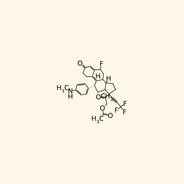 CNc1ccc([C@H]2C[C@@]3(C)[C@@H](CC[C@]3(C#CC(F)(F)F)C(=O)COC(C)=O)[C@@H]3CC(F)C4=CC(=O)CCC4=C32)cc1